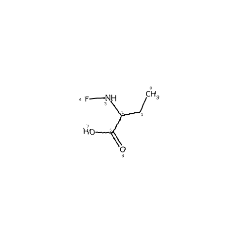 CCC(NF)C(=O)O